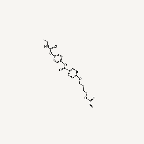 C=CC(=O)OCCCCOc1ccc(C(=O)Oc2ccc(OC(=O)NCC)cc2)cc1